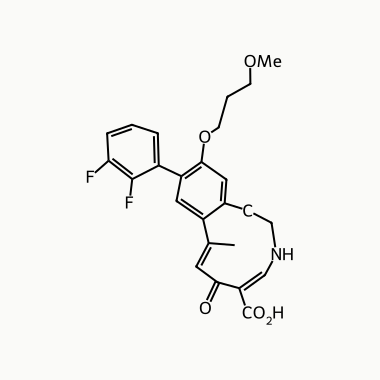 COCCCOc1cc2c(cc1-c1cccc(F)c1F)/C(C)=C/C(=O)/C(C(=O)O)=C\NCC2